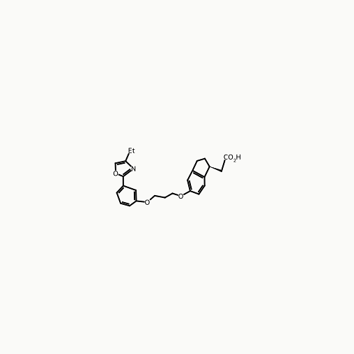 CCc1coc(-c2cccc(OCCCOc3ccc4c(c3)CC[C@H]4CC(=O)O)c2)n1